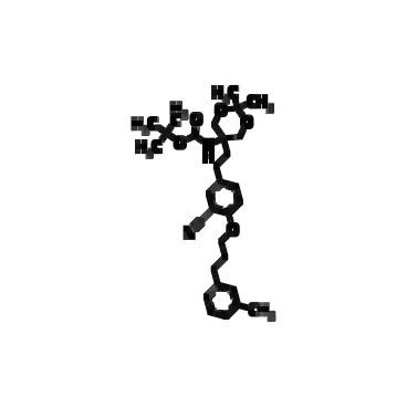 Cc1cccc(CCCOc2ccc(CCC3(NC(=O)OC(C)(C)C)COC(C)(C)OC3)cc2C#N)c1